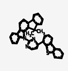 CC1(C)c2ccccc2-c2ccc3c4ccccc4n(-c4nccc(-c5cccc6c5sc5ccccc56)n4)c3c21